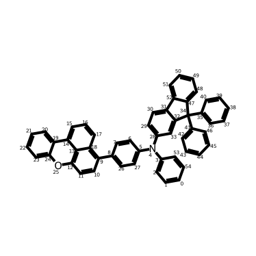 c1ccc(N(c2ccc(-c3ccc4c5c(cccc35)-c3ccccc3O4)cc2)c2ccc3c(c2)C(c2ccccc2)(c2ccccc2)c2ccccc2-3)cc1